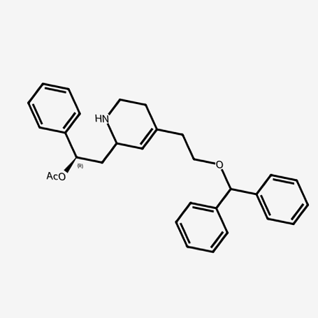 CC(=O)O[C@H](CC1C=C(CCOC(c2ccccc2)c2ccccc2)CCN1)c1ccccc1